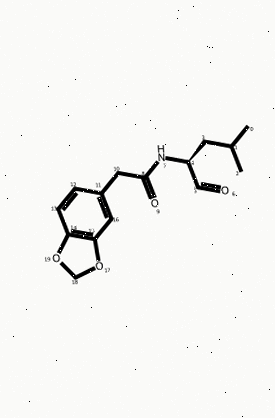 CC(C)C[C@@H]([C]=O)NC(=O)Cc1ccc2c(c1)OCO2